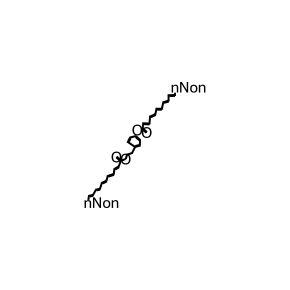 CCCCCCCCC/C=C/C=C/C=C/C=C/C=C/C(=O)OCCc1ccc(OC(=O)/C=C/C=C/C=C/C=C/C=C/CCCCCCCCC)cc1